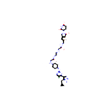 Cn1ncc(-c2nc(NC3CCC(N(CC(=O)NCCNCC(=O)NCc4cc5c(s4)C(=O)N(C4CCC(=O)NC4=O)C5)C(=O)O)CC3)ncc2Cl)c1CC1CC1